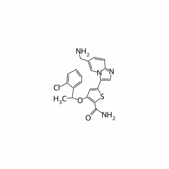 CC(Oc1cc(-c2cnc3ccc(CN)cn23)sc1C(N)=O)c1ccccc1Cl